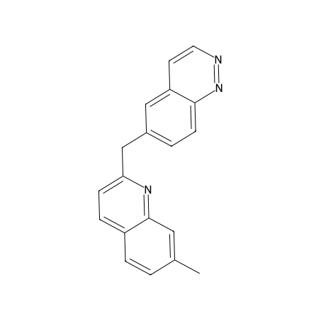 Cc1ccc2ccc(Cc3ccc4nnccc4c3)nc2c1